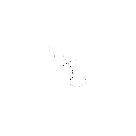 CC(C)OC(C)(C)c1cscn1